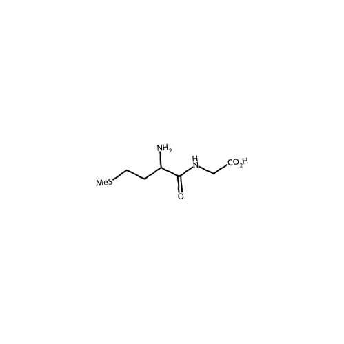 CSCCC(N)C(=O)NCC(=O)O